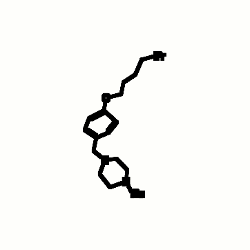 CCC(C)N1CCN(Cc2ccc(OCCCCC(C)C)cc2)CC1